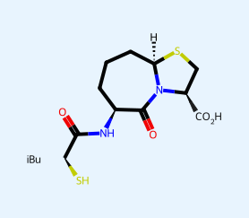 CC[C@H](C)[C@H](S)C(=O)N[C@H]1CCC[C@H]2SC[C@@H](C(=O)O)N2C1=O